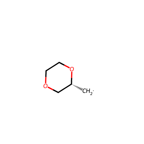 [CH2][C@@H]1COCCO1